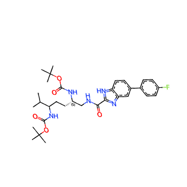 CC(C)C(CC[C@@H](CNC(=O)c1nc2cc(-c3ccc(F)cc3)ccc2[nH]1)NC(=O)OC(C)(C)C)NC(=O)OC(C)(C)C